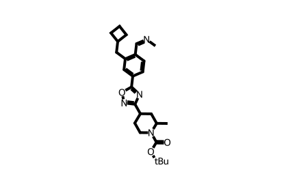 C/N=C\c1ccc(-c2nc(C3CCN(C(=O)OC(C)(C)C)C(C)C3)no2)cc1CC1CCC1